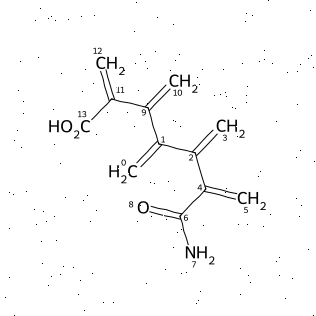 C=C(C(=C)C(=C)C(N)=O)C(=C)C(=C)C(=O)O